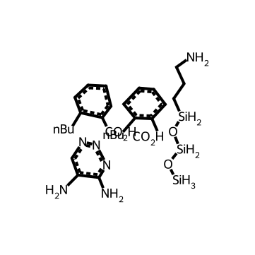 CCCCc1ccccc1C(=O)O.CCCCc1ccccc1C(=O)O.NCCC[SiH2]O[SiH2]O[SiH3].Nc1cnnnc1N